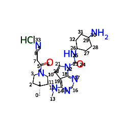 C[C@@H]1CCN(C(=O)CC#N)C[C@@H]1N(C)c1ncnc2c1ccn2C(=O)NC1CCC(N)CC1.Cl